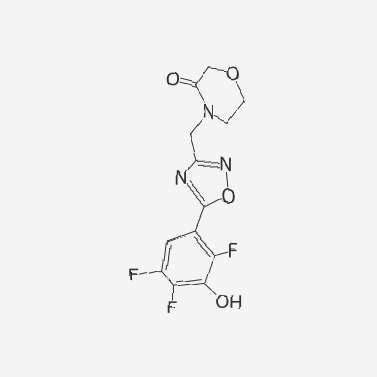 O=C1COCCN1Cc1noc(-c2cc(F)c(F)c(O)c2F)n1